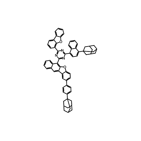 c1ccc2c(-c3nc(-c4ccc(C56CC7CC(CC(C7)C5)C6)c5ccccc45)nc(-c4cccc5c4oc4ccccc45)n3)c3oc4ccc(-c5ccc(C67CC8CC(CC(C8)C6)C7)cc5)cc4c3cc2c1